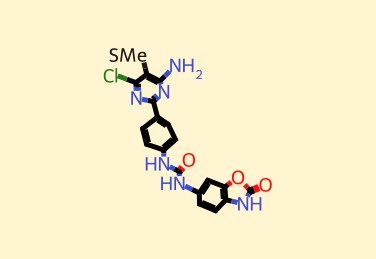 CSc1c(N)nc(-c2ccc(NC(=O)Nc3ccc4[nH]c(=O)oc4c3)cc2)nc1Cl